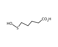 O=C(O)CCCCSO